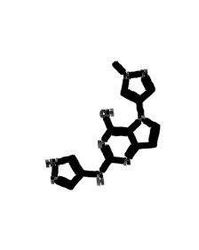 Cn1cc(-n2ccc3nc(Nc4cn[nH]c4)nc(O)c32)cn1